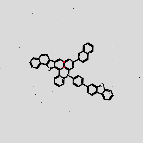 c1cc(-c2ccc3ccccc3c2)cc(N(c2ccc(-c3ccc4c(c3)oc3ccccc34)cc2)c2ccccc2-c2cccc3c2oc2c4ccccc4ccc32)c1